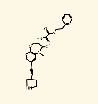 CN1C(=O)[C@@H](NC(=O)C(=O)NCCc2ccccc2)COc2ccc(C#CC3CCNCC3)cc21